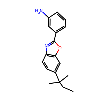 CCC(C)(C)c1ccc2nc(-c3cccc(N)c3)oc2c1